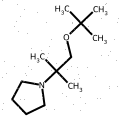 CC(C)(C)OCC(C)(C)N1CCCC1